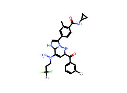 CCc1cccc(C(=O)C2C=C(N(N)CCC(F)(F)CC)C3NC=C(c4ccc(C(=O)NC5CC5)c(C)c4)N3N2)c1